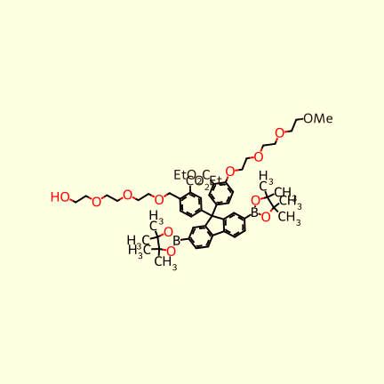 CCOC(=O)c1cc(C2(c3ccc(OCCOCCOCCOC)c(C(=O)OCC)c3)c3cc(B4OC(C)(C)C(C)(C)O4)ccc3-c3ccc(B4OC(C)(C)C(C)(C)O4)cc32)ccc1COCCOCCOCCO